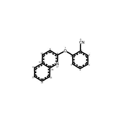 N#Cc1ccccc1Oc1ccc2ccccc2n1